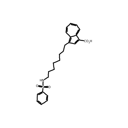 O=C(O)c1cc(CCCCCCCCNS(=O)(=O)c2ccccc2)c2cccccc1-2